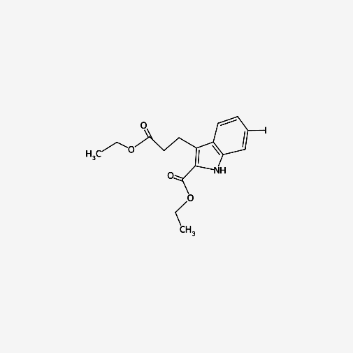 CCOC(=O)CCc1c(C(=O)OCC)[nH]c2cc(I)ccc12